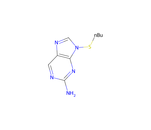 CCCCSn1cnc2cnc(N)nc21